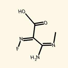 C/N=C(N)\C(=N/F)C(=O)O